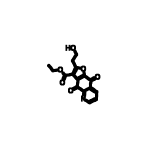 CCOC(=O)c1c(CCO)oc2c1C(=O)c1ncccc1C2=O